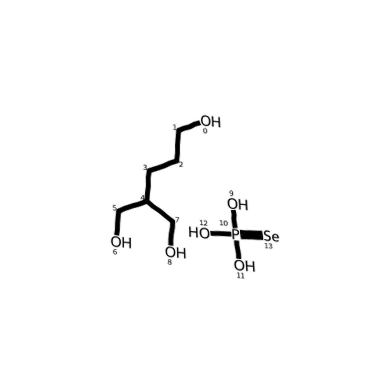 OCCCC(CO)CO.OP(O)(O)=[Se]